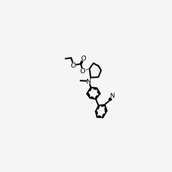 CCOC(=O)O[C@@H]1CCCC[C@@H]1N(C)c1ccc(-c2ccccc2C#N)cc1